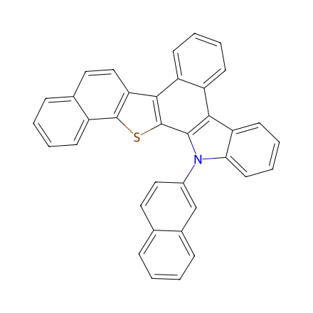 c1ccc2cc(-n3c4ccccc4c4c5ccccc5c5c6ccc7ccccc7c6sc5c43)ccc2c1